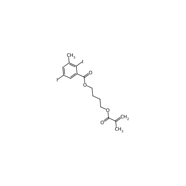 C=C(C)C(=O)OCCCCOC(=O)c1cc(I)cc(C)c1I